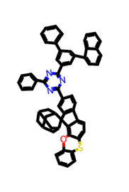 c1ccc(-c2cc(-c3nc(-c4ccccc4)nc(-c4ccc5c(c4)C4(c6c-5ccc5c6Oc6ccccc6S5)C5CC6CC(C5)CC4C6)n3)cc(-c3cccc4ccccc34)c2)cc1